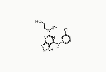 CC(C)N(CCO)c1nc(Nc2cccc(Cl)c2)c2[nH]nnc2n1